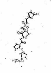 CNC1CCN(C[C@@H]2CCCN2C(=O)CN2CCC[C@H](NS(=O)(=O)/C=C/c3ccc(Cl)s3)C2=O)C1